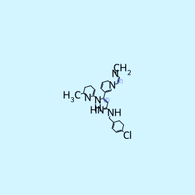 C=N/C=C\N1C=C(/C(=C/C(=N)NCC2=CC=C(Cl)CC2)NC2=CCCC(C)=N2)C=CC1